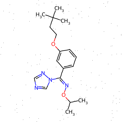 CC(C)ON=C(c1cccc(OCCC(C)(C)C)c1)n1cncn1